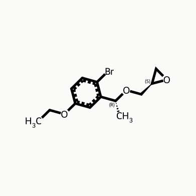 CCOc1ccc(Br)c([C@@H](C)OC[C@H]2CO2)c1